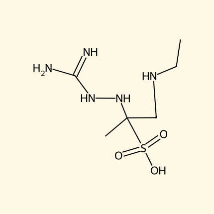 CCNCC(C)(NNC(=N)N)S(=O)(=O)O